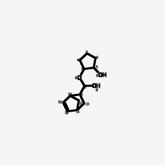 OC1CCCC1OC(O)C1CC2C=CC1C2